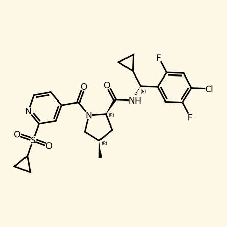 C[C@@H]1C[C@H](C(=O)N[C@@H](c2cc(F)c(Cl)cc2F)C2CC2)N(C(=O)c2ccnc(S(=O)(=O)C3CC3)c2)C1